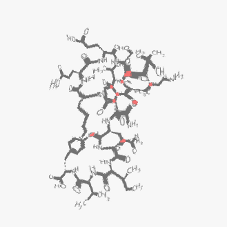 CC[C@H](C)[C@H](NC(=O)[C@H](CC(N)=O)NC(=O)[C@H](CC(=O)O)NC(=O)[C@@H]1CCCN1C(=O)[C@H](CCCCN)NC(=O)[C@H](CO)NC(=O)[C@H](CCC(=O)O)NC(=O)[C@H](CCC(=O)O)NC(=O)[C@H](CCCCN)NC(=O)[C@H](CC(N)=O)NC(=O)[C@@H](NC(=O)[C@@H](NC)C(C)(C)C)C(C)C)C(=O)N[C@H](C(=O)N[C@@H](Cc1ccc(O)cc1)C(=O)O)C(C)C